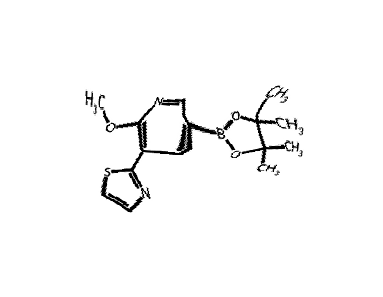 COc1ncc(B2OC(C)(C)C(C)(C)O2)cc1-c1nccs1